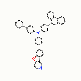 c1ccc(-c2ccc(N(c3ccc(-c4ccc5c(c4)oc4ccncc45)cc3)c3ccc(-c4cc5ccccc5c5ccccc45)cc3)cc2)cc1